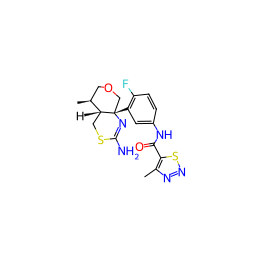 Cc1nnsc1C(=O)Nc1ccc(F)c([C@]23COC[C@H](C)[C@H]2CSC(N)=N3)c1